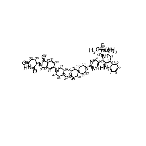 C[C@@H]1Cc2c([nH]c3ccccc23)[C@@H](c2cnc(N3CCC4(CCN(CC5CCN(c6ccc7c(c6)CN(C6CCC(=O)NC6=O)C7=O)CC5)CC4)CC3)nc2)N1CC(C)(C)F